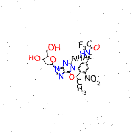 CC(=O)Nc1nc(OC(C)c2ccc(CNC(=O)C(F)(F)F)cc2[N+](=O)[O-])c2ncn([C@H]3C[C@@H](O)[C@@H](CO)O3)c2n1